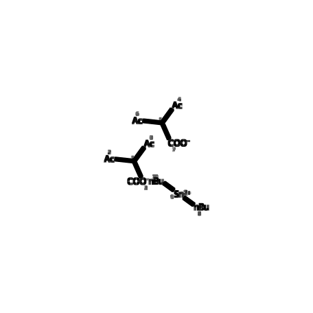 CC(=O)C(C(C)=O)C(=O)[O-].CC(=O)C(C(C)=O)C(=O)[O-].CCC[CH2][Sn+2][CH2]CCC